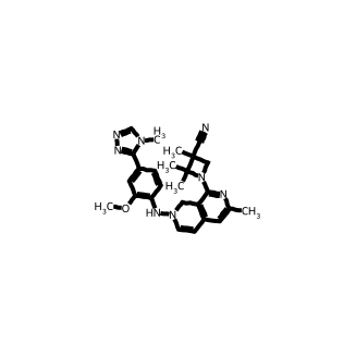 COc1cc(-c2nncn2C)ccc1NN1C=Cc2cc(C)nc(N3CC(C)(C#N)C3(C)C)c2C1